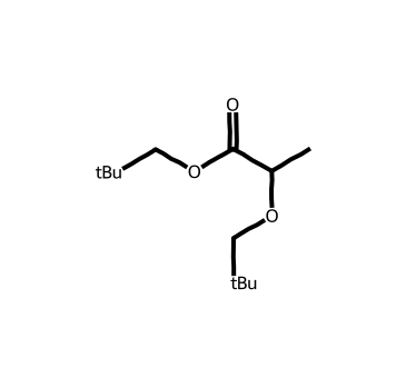 CC(OCC(C)(C)C)C(=O)OCC(C)(C)C